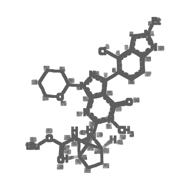 CCn1cc2c(Cl)c(-c3nn(C4CCCCO4)c4nc(N5C[C@@H]6CC[C@H]5[C@H]6NC(=O)OC(C)(C)C)n(C)c(=O)c34)ccc2n1